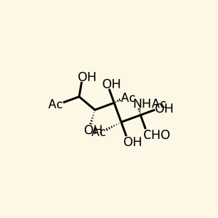 CC(=O)N[C@](O)(C=O)[C@](O)(C(C)=O)[C@@](O)(C(C)=O)[C@H](O)C(O)C(C)=O